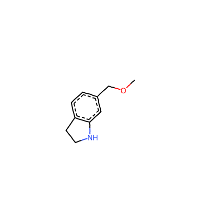 COCc1ccc2c(c1)NCC2